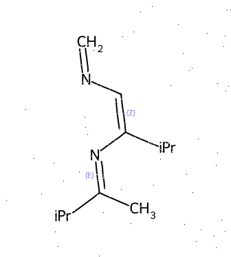 C=N/C=C(\N=C(/C)C(C)C)C(C)C